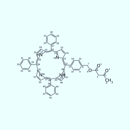 CC(=O)CC(=O)OCc1ccc(-c2c3nc(c(-c4ccccc4)c4ccc([nH]4)c(-c4ccccc4)c4nc(c(-c5ccccc5)c5ccc2[nH]5)C=C4)C=C3)cc1